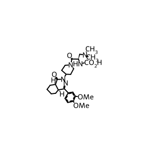 COc1ccc(C2=NN(C3CCN(C(=O)[C@@H](CN(C)C)NC(=O)O)CC3)C(=O)[C@@H]3CCCC[C@H]23)cc1OC